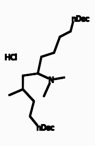 CCCCCCCCCCCCCCC(CC(C)CCCCCCCCCCCC)N(C)C.Cl